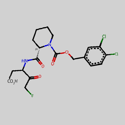 O=C(O)CC(NC(=O)[C@@H]1CCCCN1C(=O)OCc1ccc(Cl)c(Cl)c1)C(=O)CF